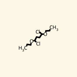 CCCOC(Cl)CCC(Cl)OCCC